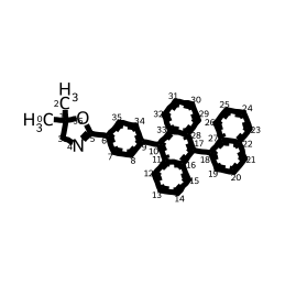 CC1(C)CN=C(c2ccc(-c3c4ccccc4c(-c4cccc5ccccc45)c4ccccc34)cc2)O1